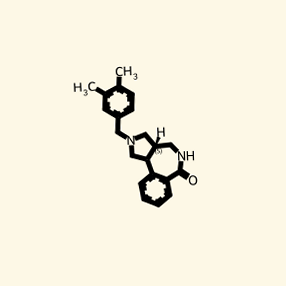 Cc1ccc(CN2CC3c4ccccc4C(=O)NC[C@H]3C2)cc1C